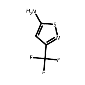 Nc1cc(C(F)(F)F)ns1